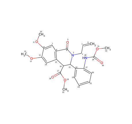 C=CCN1C(=O)c2cc(OC)c(OC)cc2C(C(=O)OC)C1c1ccccc1NC(=O)OC